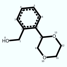 OCc1ccccc1C1COCCO1